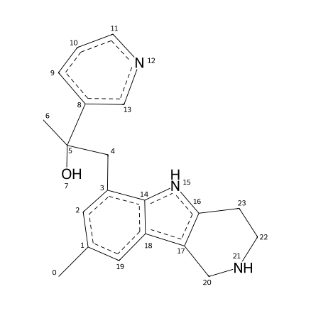 Cc1cc(CC(C)(O)c2cccnc2)c2[nH]c3c(c2c1)CNCC3